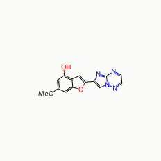 COc1cc(O)c2cc(-c3cn4nccnc4n3)oc2c1